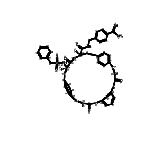 N=C(N)c1ccc(CNC(=O)[C@@H]2Cc3ccc(cc3)CNC(=O)Cc3cccc(c3)CC(=O)NCc3ccc(cc3)C[C@@H](NS(=O)(=O)Cc3ccccc3)C(=O)N2)cc1